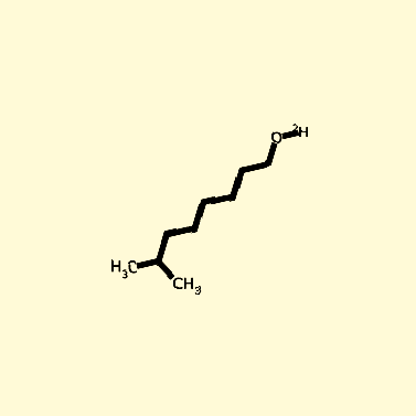 [2H]OCCCCCCC(C)C